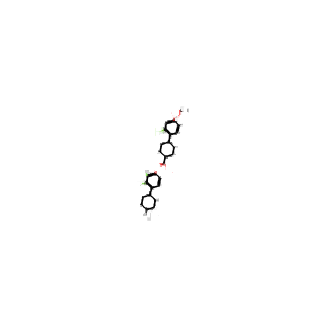 CCCC1CCC(c2ccc(OC(=O)C3CCC(c4ccc(OCC)cc4F)CC3)c(F)c2F)CC1